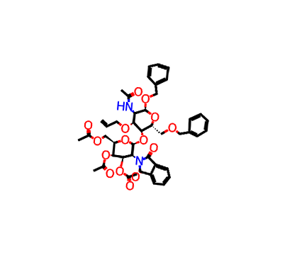 C=CCO[C@@H]1[C@@H](NC(C)=O)[C@@H](OCc2ccccc2)O[C@H](COCc2ccccc2)[C@H]1O[C@@H]1O[C@H](COC(C)=O)[C@@H](OC(C)=O)[C@H](OC(C)=O)[C@H]1N1C(=O)c2ccccc2C1=O